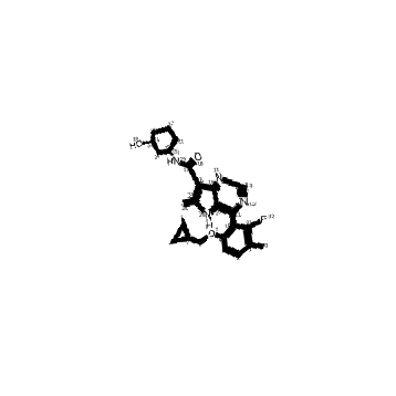 Cc1ccc(OCC2CC2)c(-c2ncnc3c(C(=O)N[C@H]4CCC[C@H](O)C4)c(C)[nH]c23)c1F